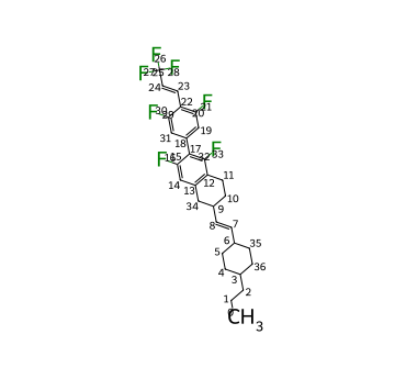 CCCC1CCC(/C=C/C2CCc3c(cc(F)c(-c4cc(F)c(/C=C/C(F)(F)F)c(F)c4)c3F)C2)CC1